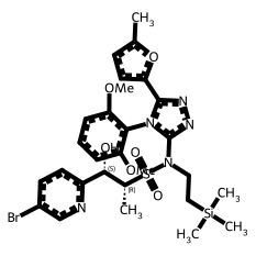 COc1cccc(OC)c1-n1c(-c2ccc(C)o2)nnc1N(CC[Si](C)(C)C)S(=O)(=O)[C@H](C)[C@@H](O)c1ccc(Br)cn1